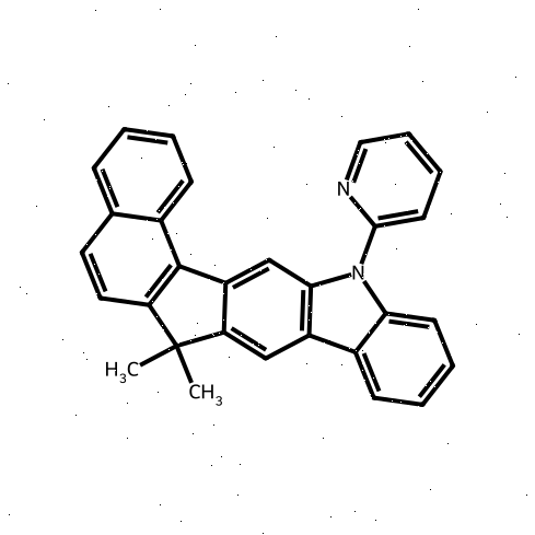 CC1(C)c2cc3c4ccccc4n(-c4ccccn4)c3cc2-c2c1ccc1ccccc21